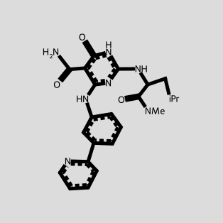 CNC(=O)C(CC(C)C)Nc1nc(Nc2cccc(-c3ccccn3)c2)c(C(N)=O)c(=O)[nH]1